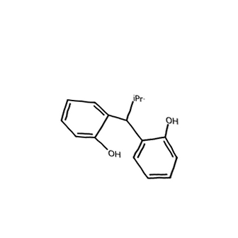 C[C](C)C(c1ccccc1O)c1ccccc1O